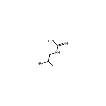 C[C](C)C(C)CNC(=N)N